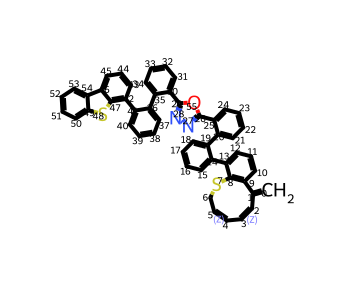 C=C1/C=C\C=C/CSc2c1cccc2-c1ccccc1-c1ccccc1-c1nnc(-c2ccccc2-c2ccccc2-c2cccc3c2sc2ccccc23)o1